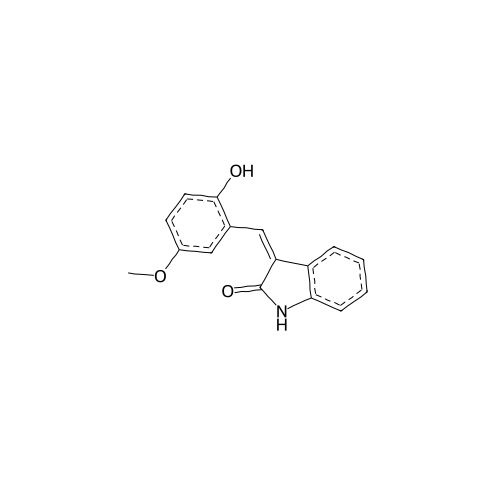 COc1ccc(O)c(C=C2C(=O)Nc3ccccc32)c1